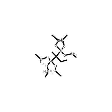 [CH2]CC(C)([Si](O[SiH2]C)(O[SiH2]C)O[SiH2]C)[Si](O[SiH2]C)(O[SiH2]C)O[SiH2]C